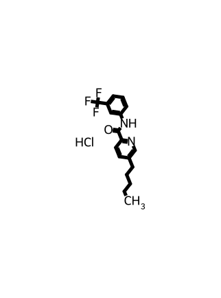 CCCCCc1ccc(C(=O)Nc2cccc(C(F)(F)F)c2)nc1.Cl